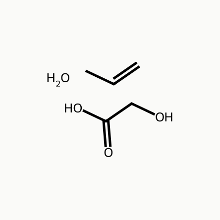 C=CC.O.O=C(O)CO